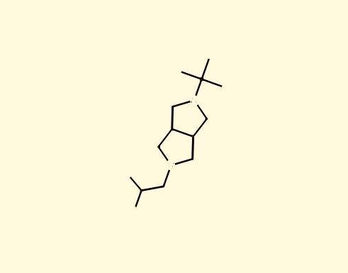 CC(C)(C)N1CC2CN(CC(F)F)CC2C1